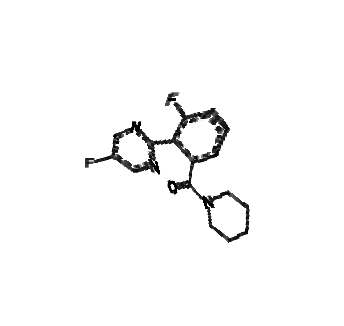 O=C(c1cccc(F)c1-c1ncc(F)cn1)N1CCCCC1